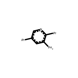 CC(C)c1cnc(C(C)C)c(P)c1